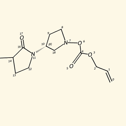 C=CCOC(=O)ON1CC[C@@H](N2CCC(Br)C2=O)C1